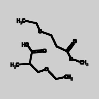 CCOCC(C)C(=O)O.CCOCCC(=O)OC